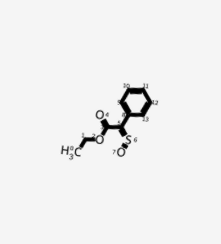 CCOC(=O)C(=S=O)c1ccccc1